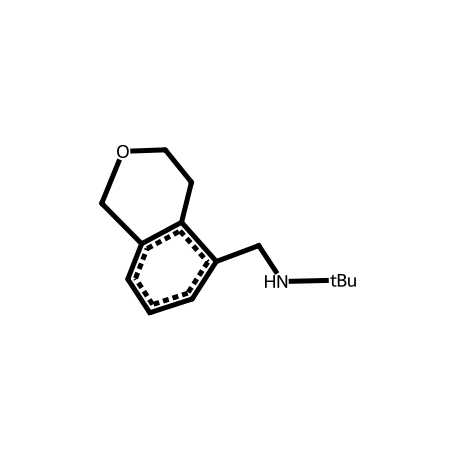 CC(C)(C)NCc1cccc2c1CCOC2